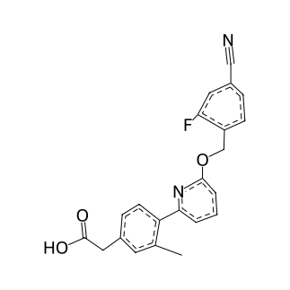 Cc1cc(CC(=O)O)ccc1-c1cccc(OCc2ccc(C#N)cc2F)n1